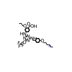 C/C=C/CCCOc1ccc(CNc2nc(Nc3ccc(C(=O)O)c(OCCC)c3)nc(OCC(F)(F)F)n2)cc1